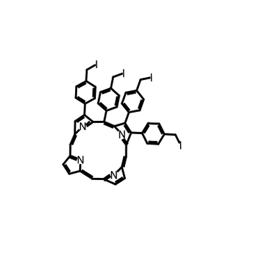 ICc1ccc(C2=CC3=CC4=NC(=CC5=NC(=CC6=NC(=C(c7ccc(CI)cc7)C2=N3)C(c2ccc(CI)cc2)=C6c2ccc(CI)cc2)C=C5)C=C4)cc1